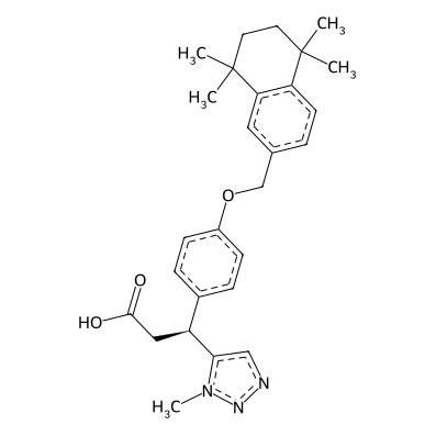 Cn1nncc1[C@@H](CC(=O)O)c1ccc(OCc2ccc3c(c2)C(C)(C)CCC3(C)C)cc1